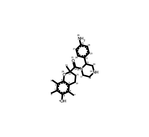 Cc1c(C)c2c(c(C)c1O)CCC(C)(C(=O)N1CCNCC1c1ccc(N)cc1)O2